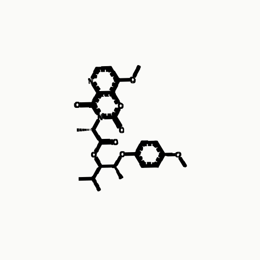 COc1ccc(O[C@@H](C)C(OC(=O)[C@H](C)n2c(=O)oc3c(OC)ccnc3c2=O)C(C)C)cc1